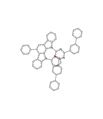 c1ccc(-c2ccc(-c3nc(-c4cccc(-c5ccccc5)c4)nc(-n4c5ccccc5c5cc(-c6ccccc6)c6c7ccccc7n(-c7ccccc7)c6c54)n3)cc2)cc1